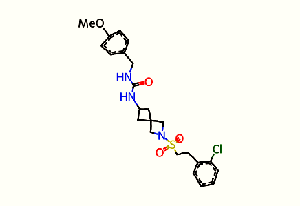 COc1ccc(CNC(=O)NC2CC3(C2)CN(S(=O)(=O)CCc2ccccc2Cl)C3)cc1